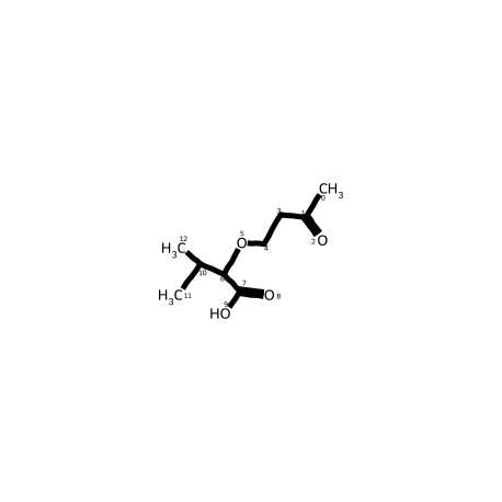 CC(=O)CCOC(C(=O)O)C(C)C